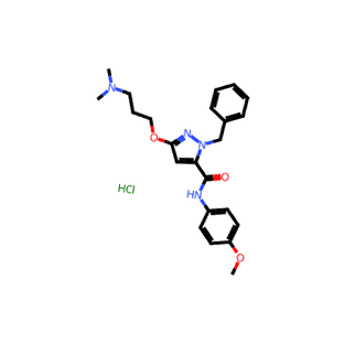 COc1ccc(NC(=O)c2cc(OCCCN(C)C)nn2Cc2ccccc2)cc1.Cl